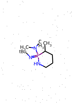 CC1CCCNP1(=NC(C)(C)C)N(C)C